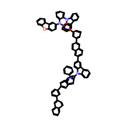 C1=CC2C(n3c4ccccc4c4cc(-c5ccc6cc(-c7cccc(-c8ccc(N(c9ccc%10oc%11ccccc%11c%10c9)c9ccccc9-n9c%10ccccc%10c%10ccccc%109)cc8)c7)ccc6c5)ccc43)C2(N(c2ccccc2)c2ccc(-c3cccc(-c4ccc5ccccc5c4)c3)cc2)C=C1